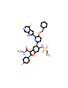 CCS(=O)(=O)Nc1cc2oc(-c3ccc(F)cc3)c(C(=O)NC)c2cc1-c1ccc(OCc2ccccc2)c(-c2cc3c(F)cncc3[nH]2)n1